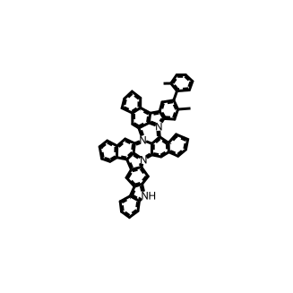 Cc1ccccc1-c1cc2c3c4ccccc4cc4c3n(c2cc1C)c1c2c(cc3ccccc31)n1c3cc5[nH]c6ccccc6c5cc3c3c5ccccc5cc(c31)n4-2